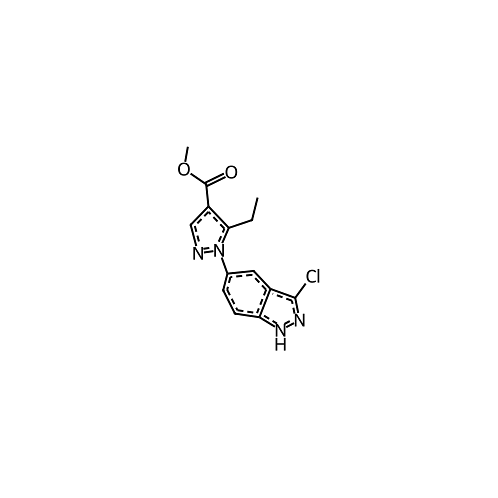 CCc1c(C(=O)OC)cnn1-c1ccc2[nH]nc(Cl)c2c1